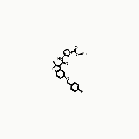 Cc1oc2ccc(OCc3ccc(F)cc3)cc2c1C(=O)N[C@@H]1CCN(C(=O)OC(C)(C)C)C1